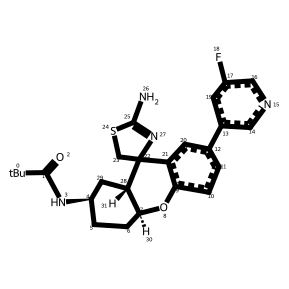 CC(C)(C)C(=O)N[C@@H]1CC[C@@H]2Oc3ccc(-c4cncc(F)c4)cc3C3(CSC(N)=N3)[C@H]2C1